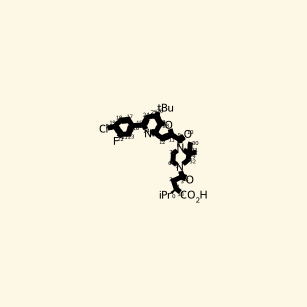 CC(C)[C@@H](CC(=O)N1CCN(C(=O)c2cc3nc(-c4ccc(Cl)c(F)c4)cc(C(C)(C)C)c3o2)C(C)(C)C1)C(=O)O